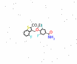 CCOC(=O)c1sc2cccc(F)c2c1COc1c(F)cc(C(N)=O)cc1F